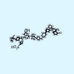 Cc1ncsc1-c1ccc([C@H](CN2CC(C(=O)O)C2)NC(=O)[C@@H]2C[C@@H](O)CN2C(=O)[C@@H](n2cc(C3CCC(CN4CCC(c5ccc6c(c5)-n5c(nc(=O)c7c(Cl)cccc75)C65CCCCC5)CC4)CC3)nn2)C(C)(C)C)cc1